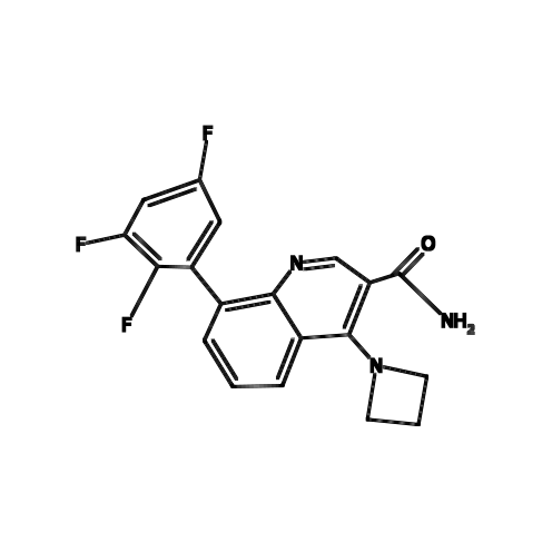 NC(=O)c1cnc2c(-c3cc(F)cc(F)c3F)cccc2c1N1CCC1